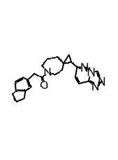 O=C(Cc1ccc2c(c1)CCC2)N1CCCC2(CC1)CC2c1ccc2nncn2n1